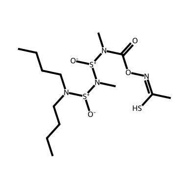 CCCCN(CCCC)[S+]([O-])N(C)[S+]([O-])N(C)C(=O)ON=C(C)S